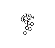 CC12C[C@H]3C[C@H](C1)C1(c4ccccc4S(=O)(=O)c4ccc(N(c5ccc(-c6ccccc6)cc5)c5ccccc5-c5ccccc5)cc41)[C@@H](C3)C2